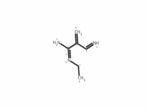 C=C(C=N)/C(N)=N\CC